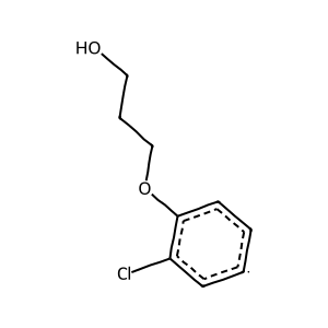 OCCCOc1cc[c]cc1Cl